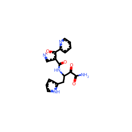 NC(=O)C(=O)C(Cc1ccc[nH]1)NC(=O)c1cnoc1-c1ccccn1